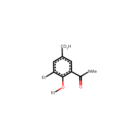 CCOc1c(CC)cc(C(=O)O)cc1C(=O)NC